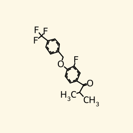 CC(C)C(=O)c1ccc(OCc2ccc(C(F)(F)F)cc2)c(F)c1